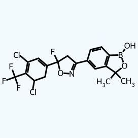 CC1(C)OB(O)c2ccc(C3=NOC(F)(C4=CC(Cl)=C(C(F)(F)F)C(Cl)C4)C3)cc21